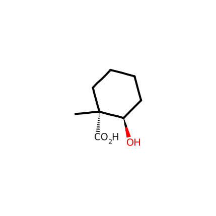 C[C@@]1(C(=O)O)CCCC[C@H]1O